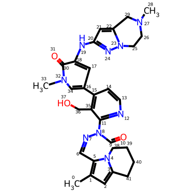 Cc1cc2n(c1/C=N\N(C=O)c1nccc(-c3cc(Nc4cc5n(n4)CCN(C)C5)c(=O)n(C)c3)c1CO)CCCC2